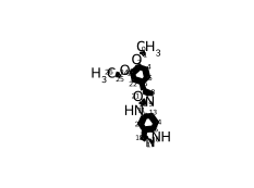 CCOc1ccc(-c2cnc(Nc3ccc4[nH]ncc4c3)o2)cc1OCC